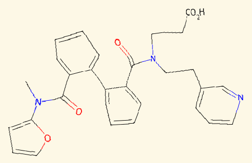 CN(C(=O)c1ccccc1-c1ccccc1C(=O)N(CCC(=O)O)CCc1cccnc1)c1ccco1